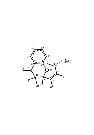 CCCCCCCCCCC(C)C(C)=C(C)C1(C)Oc2ccccc2C(C)C1(C)C